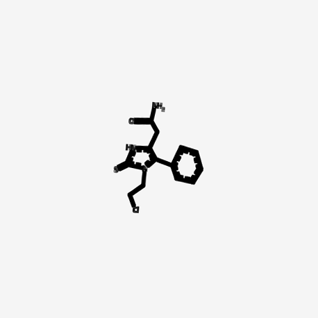 NC(=O)Cc1[nH]c(=S)n(CCCl)c1-c1ccccc1